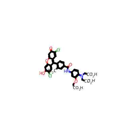 O=C(O)COc1cc(NC(=O)c2ccc(-c3c4cc(Cl)c(=O)cc-4oc4cc(O)c(Cl)cc34)c(C(=O)O)c2)ccc1N(CC(=O)O)CC(=O)O